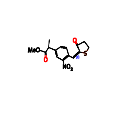 COC(=O)C(C)c1ccc(/C=C2/SCCC2=O)c([N+](=O)[O-])c1